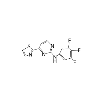 Fc1cc(Nc2nccc(-c3nccs3)n2)cc(F)c1F